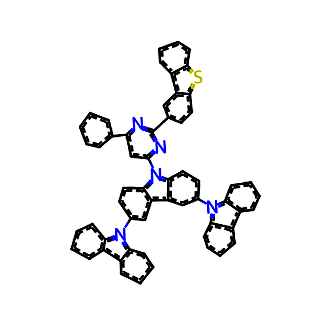 c1ccc(-c2cc(-n3c4ccc(-n5c6ccccc6c6ccccc65)cc4c4cc(-n5c6ccccc6c6ccccc65)ccc43)nc(-c3ccc4sc5ccccc5c4c3)n2)cc1